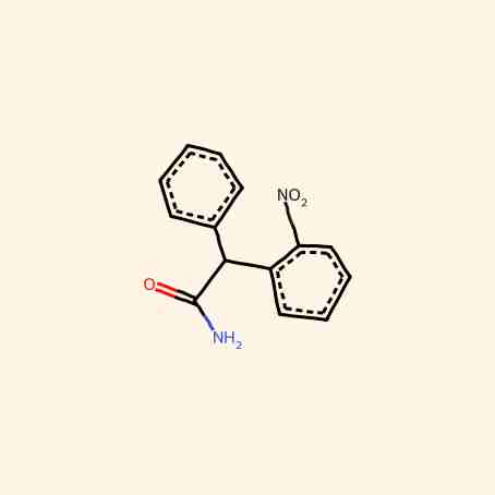 NC(=O)C(c1ccccc1)c1ccccc1[N+](=O)[O-]